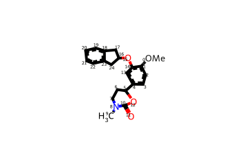 COc1ccc(C2CCN(C)C(=O)O2)cc1OC1Cc2ccccc2C1